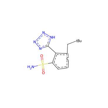 CC(C)(C)Cc1cccc(S(N)(=O)=O)c1-c1nnn[nH]1